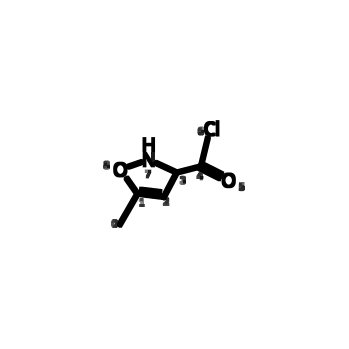 CC1=CC(C(=O)Cl)NO1